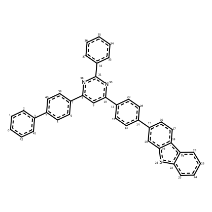 c1ccc(-c2ccc(-c3cc(-c4ccc(-c5ccc6c(c5)sc5ccccc56)cc4)nc(-c4ccccc4)n3)cc2)cc1